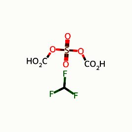 FC(F)F.O=C(O)OS(=O)(=O)OC(=O)O